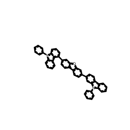 c1ccc(-n2c3ccccc3c3ccc(-c4ccc5c(c4)oc4cc(-c6cccc7c6c6ccccc6n7-c6ccccc6)ccc45)cc32)cc1